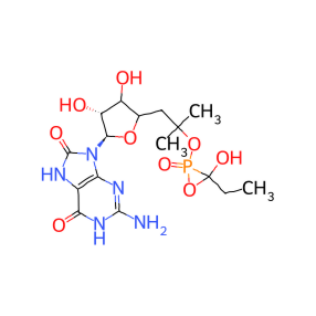 CCC1(O)OP1(=O)OC(C)(C)CC1O[C@@H](n2c(=O)[nH]c3c(=O)[nH]c(N)nc32)[C@H](O)C1O